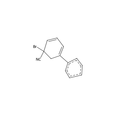 N#CC1(Br)C=CC=C(c2ccccc2)C1